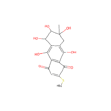 CCCCSC1=CC(=O)c2c(O)c3c(c(O)c2C1=O)CC(C)(O)C(O)C3O